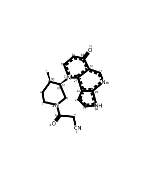 C[C@@H]1CCN(C(=O)CC#N)C[C@@H]1n1ccc(=O)c2cnc3[nH]ccc3c21